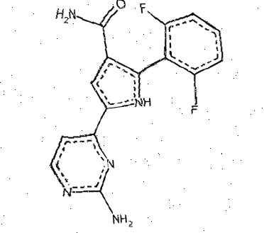 NC(=O)c1cc(-c2ccnc(N)n2)[nH]c1-c1c(F)cccc1F